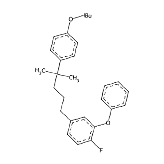 CCC(C)Oc1ccc(C(C)(C)CCCc2ccc(F)c(Oc3ccccc3)c2)cc1